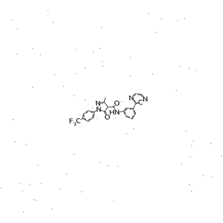 CC1=NN(c2ccc(C(F)(F)F)cc2)C(=O)C1C(=O)Nc1cccc(-c2cnccn2)c1